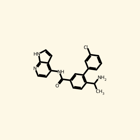 CC(N)c1ccc(C(=O)Nc2ccnc3[nH]ccc23)cc1-c1cccc(Cl)c1